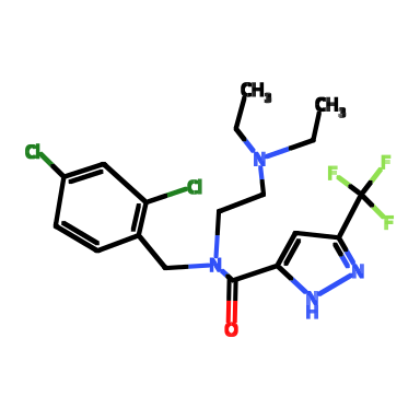 CCN(CC)CCN(Cc1ccc(Cl)cc1Cl)C(=O)c1cc(C(F)(F)F)n[nH]1